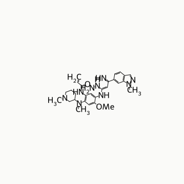 C=CC(=O)Nc1cc(N/C(=C/C(=N)c2ccc3cnn(C)c3c2)NN)c(OC)cc1N(C)C1CCCN(C)C1